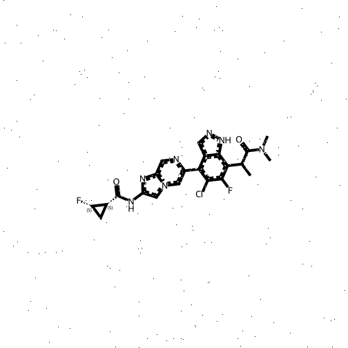 CC(C(=O)N(C)C)c1c(F)c(Cl)c(-c2cn3cc(NC(=O)[C@@H]4C[C@@H]4F)nc3cn2)c2cn[nH]c12